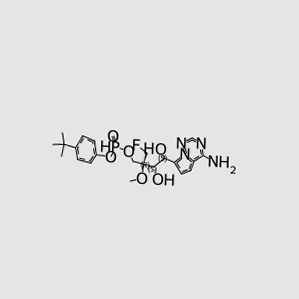 CO[C@](CF)(CO[PH](=O)Oc1ccc(C(C)(C)C)cc1)[C@@H](O)[C@@H](O)c1ccc2c(N)ncnn12